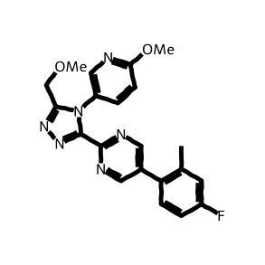 COCc1nnc(-c2ncc(-c3ccc(F)cc3C)cn2)n1-c1ccc(OC)nc1